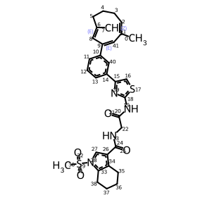 CC1=C/CCC/C(C)=C/C(c2cccc(-c3csc(NC(=O)CNC(=O)c4cn(S(C)(=O)=O)c5c4CCCC5)n3)c2)=C\1